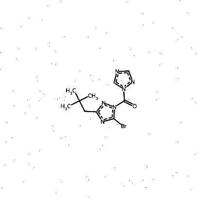 CC(C)(C)Cc1nc(Br)n(C(=O)n2cncn2)n1